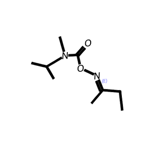 CC/C(C)=N/OC(=O)N(C)C(C)C